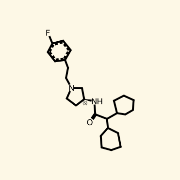 O=C(N[C@H]1CCN(CCc2ccc(F)cc2)C1)C(C1CCCCC1)C1CCCCC1